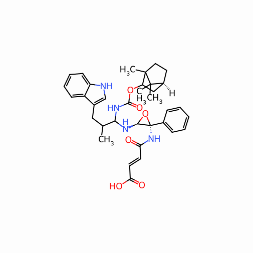 CC(Cc1c[nH]c2ccccc12)C(NC(=O)OC1C[C@@H]2CCC1(C)C2(C)C)N[C@H]1O[C@@]1(NC(=O)C=CC(=O)O)c1ccccc1